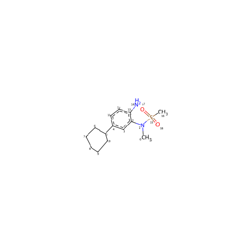 CN(c1cc(C2CCCCC2)ccc1N)S(C)(=O)=O